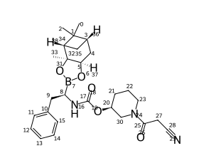 CC1(C)[C@@H]2C[C@H]3OB([C@H](Cc4ccccc4)NC(=O)O[C@H]4CCCN(C(=O)CC#N)C4)O[C@@]3(C)[C@H]1C2